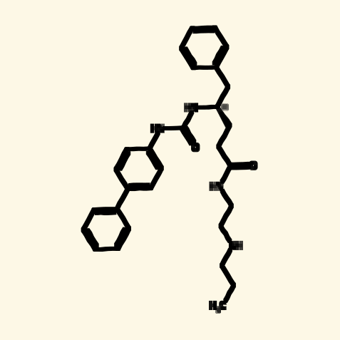 CCCNCCNC(=O)CC[C@H](Cc1ccccc1)NC(=O)Nc1ccc(-c2ccccc2)cc1